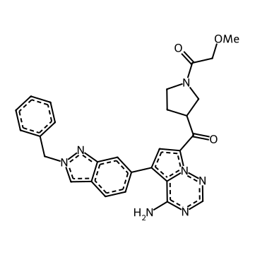 COCC(=O)N1CCC(C(=O)c2cc(-c3ccc4cn(Cc5ccccc5)nc4c3)c3c(N)ncnn23)C1